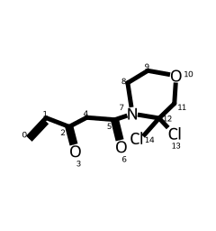 C=CC(=O)CC(=O)N1CCOCC1(Cl)Cl